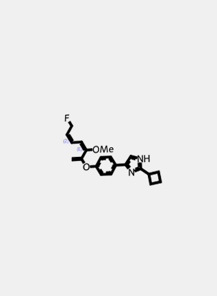 C=C(Oc1ccc(-c2c[nH]c(C3CCC3)n2)cc1)/C(=C\C=C/CF)OC